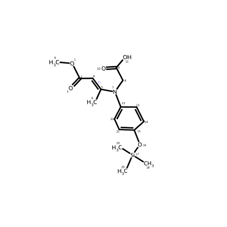 COC(=O)/C=C(\C)N(CC(=O)O)c1ccc(O[Si](C)(C)C)cc1